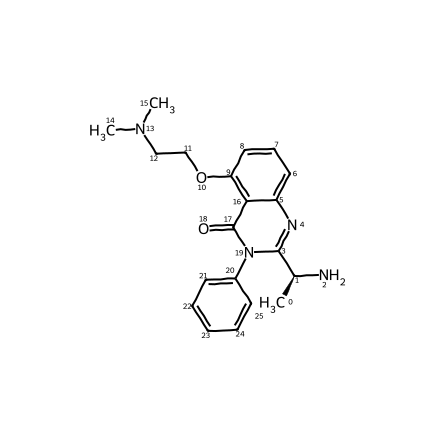 C[C@H](N)c1nc2cccc(OCCN(C)C)c2c(=O)n1-c1ccccc1